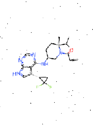 C=CC(=O)N1CC(Nc2ncnc3[nH]cc([C@@H]4CC4(F)F)c23)CC[C@]1(C)C(C)C